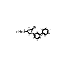 CCCCCCC1CN(c2cccc(-c3ccccc3)c2)C(=O)O1